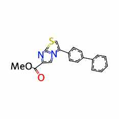 COC(=O)c1cn2c(-c3ccc(-c4ccccc4)cc3)csc2n1